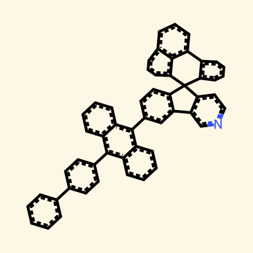 c1ccc(-c2ccc(-c3c4ccccc4c(-c4ccc5c(c4)-c4cnccc4C54c5ccccc5-c5cccc6cccc4c56)c4ccccc34)cc2)cc1